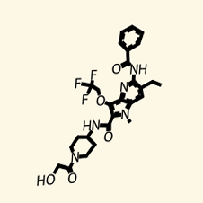 CCc1cc2c(nc1NC(=O)c1ccccc1)c(OCC(F)(F)F)c(C(=O)NC1CCN(C(=O)CO)CC1)n2C